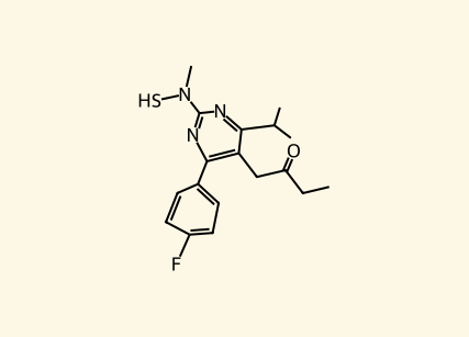 CCC(=O)Cc1c(-c2ccc(F)cc2)nc(N(C)S)nc1C(C)C